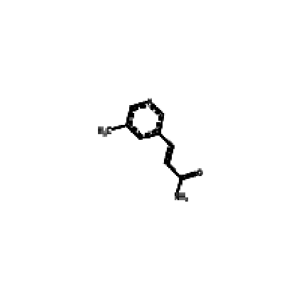 Cc1cncc(C=CC(N)=O)c1